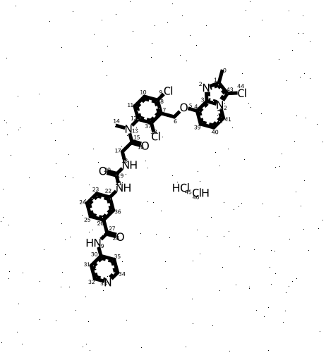 Cc1nc2c(OCc3c(Cl)ccc(N(C)C(=O)CNC(=O)Nc4cccc(C(=O)Nc5ccncc5)c4)c3Cl)cccn2c1Cl.Cl.Cl